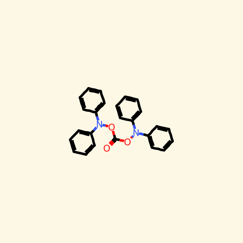 O=C(ON(c1ccccc1)c1ccccc1)ON(c1ccccc1)c1ccccc1